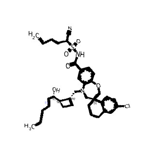 C=CCCC(C#N)S(=O)(=O)NC(=O)c1ccc2c(c1)N(C[C@@H]1CC[C@H]1[C@@H](O)/C=C/CCC)C[C@@]1(CCCc3cc(Cl)ccc31)CO2